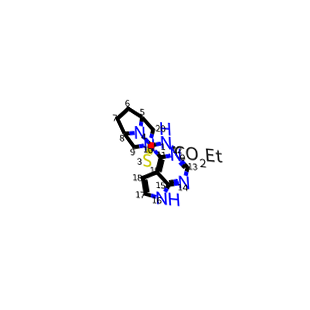 CCOC(=O)NC(=S)N1C2CCC1CN(c1ncnc3[nH]ccc13)C2